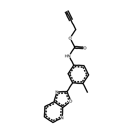 C#CCOC(=O)Nc1ccc(C)c(-c2nc3cccnc3o2)c1